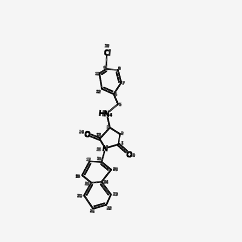 O=C1CC(NCc2ccc(Cl)cc2)C(=O)N1c1ccc2ccccc2c1